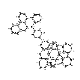 c1ccc(N(c2ccc(-c3ccc4c(c3)Oc3ccccc3C43c4ccccc4[Si](c4ccccc4)(c4ccccc4)c4ccccc43)cc2)c2cc3ccccc3c3ccccc23)cc1